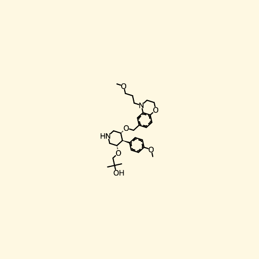 COCCCN1CCOc2ccc(CO[C@H]3CNC[C@@H](OCC(C)(C)O)[C@@H]3c3ccc(OC)cc3)cc21